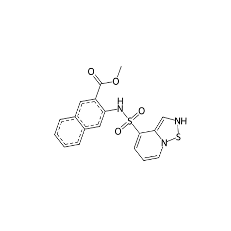 COC(=O)c1cc2ccccc2cc1NS(=O)(=O)C1=CC=CN2SNC=C12